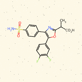 CC(C(=O)O)c1nc(-c2ccc(S(N)(=O)=O)cc2)c(-c2ccc(F)c(F)c2)o1